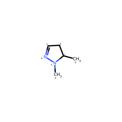 CC1[CH]C=NN1C